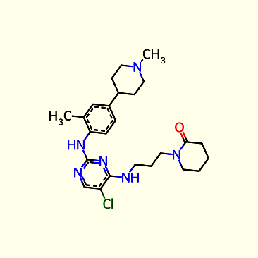 Cc1cc(C2CCN(C)CC2)ccc1Nc1ncc(Cl)c(NCCCN2CCCCC2=O)n1